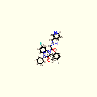 Cc1ccccc1C(C(=O)NC1CCCCC1)N(C(=O)CNCc1cccnc1)c1cccc(F)c1